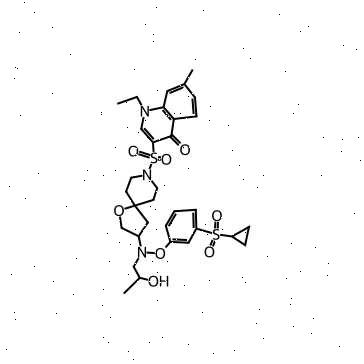 CCn1cc(S(=O)(=O)N2CCC3(CC2)CC(N(CC(C)O)Oc2cccc(S(=O)(=O)C4CC4)c2)CO3)c(=O)c2ccc(C)cc21